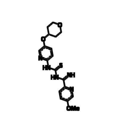 COc1ccc(C(=N)NC(=S)Nc2ccc(OC3CCOCC3)cn2)nc1